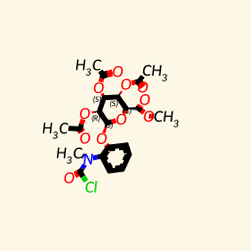 COC(=O)[C@H]1O[C@@H](Oc2ccccc2N(C)C(=O)Cl)[C@H](OC(C)=O)[C@@H](OC(C)=O)[C@@H]1OC(C)=O